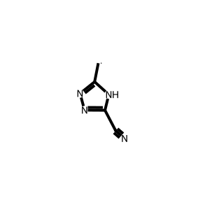 [CH2]c1nnc(C#N)[nH]1